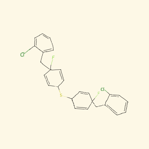 FC1(Cc2ccccc2Cl)C=CC(SC2C=CC(F)(Cc3ccccc3Cl)C=C2)C=C1